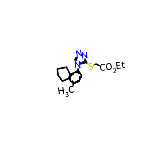 CCOC(=O)CSc1nncn1-c1ccc(C)c2c1CCCC2